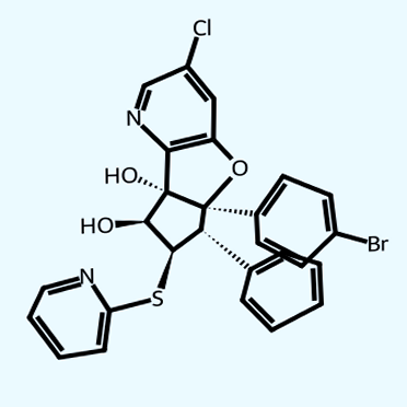 O[C@@H]1[C@H](Sc2ccccn2)[C@@H](c2ccccc2)[C@]2(c3ccc(Br)cc3)Oc3cc(Cl)cnc3[C@]12O